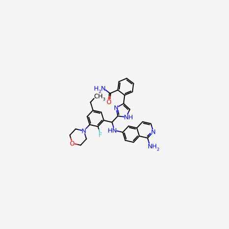 CCc1cc(C(Nc2ccc3c(N)nccc3c2)c2nc(-c3ccccc3C(N)=O)c[nH]2)c(F)c(N2CCOCC2)c1